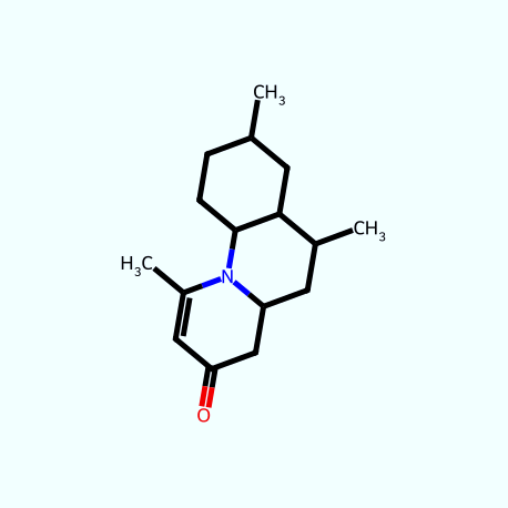 CC1=CC(=O)CC2CC(C)C3CC(C)CCC3N12